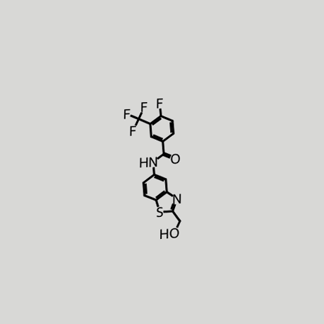 O=C(Nc1ccc2sc(CO)nc2c1)c1ccc(F)c(C(F)(F)F)c1